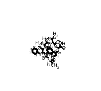 CC(=O)NCC(=O)N[C@@H](Cc1ccccc1)C(=O)N[C@@H](C)C(=O)N[C@H](C(=O)N[C@@H](Cc1c[nH]c2ccccc12)C(=O)O)C(C)C